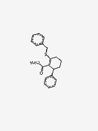 COC(=O)C1=C(SCc2ccccc2)CCCC1c1ccccc1